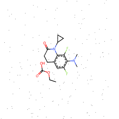 CCOC(=O)O.CN(C)c1c(F)cc2c(c1F)N(C1CC1)C(=O)CC2